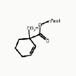 CCCCCOC(=O)C1(C(=O)O)C=CCCC1